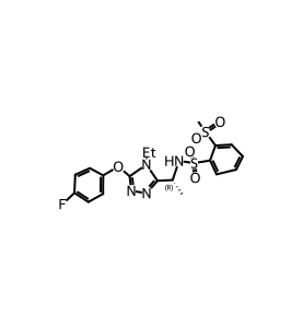 CCn1c(Oc2ccc(F)cc2)nnc1[C@@H](C)NS(=O)(=O)c1ccccc1S(C)(=O)=O